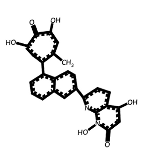 Cc1cc(O)c(=O)c(O)cc1-c1cccc2cc(-c3ccc4c(O)cc(=O)n(O)c4n3)ccc12